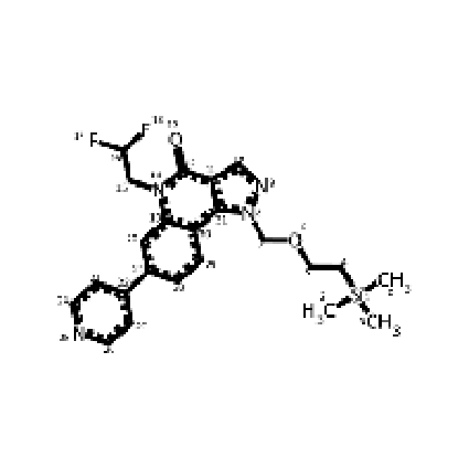 C[Si](C)(C)CCOCn1ncc2c(=O)n(CC(F)F)c3cc(-c4ccncc4)ccc3c21